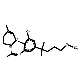 C=C(C)[C@@H]1CCC(C)=C[C@H]1c1c(O)cc(C(C)(C)CCCO[N+](=O)[O-])cc1O